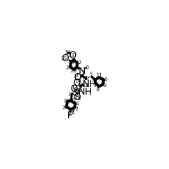 CN(C(=O)[C@H](Cc1ccccc1)NC(=O)NS(=O)(=O)Cc1ccc(F)cc1)c1ccc2c(c1)OCO2